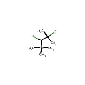 CC(C)(C)C(Cl)C(C)(C)Cl